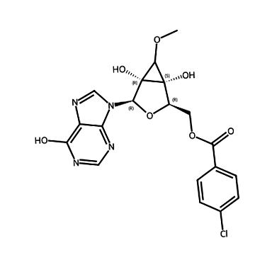 COC1[C@@]2(O)[C@@H](COC(=O)c3ccc(Cl)cc3)O[C@@H](n3cnc4c(O)ncnc43)[C@@]12O